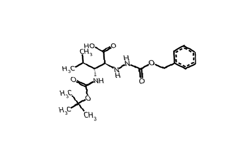 CC(C)[C@@H](NC(=O)OC(C)(C)C)[C@H](NNC(=O)OCc1ccccc1)C(=O)O